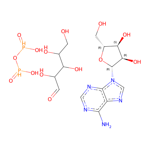 Nc1ncnc2c1ncn2[C@@H]1O[C@H](CO)[C@@H](O)[C@H]1O.O=CC(O)C(O)C(O)CO.O=[PH](O)O[PH](=O)O